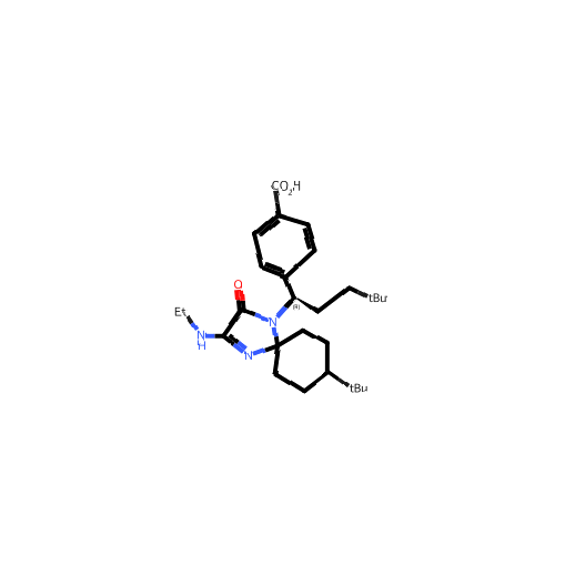 CCNC1=NC2(CCC(C(C)(C)C)CC2)N([C@H](CCC(C)(C)C)c2ccc(C(=O)O)cc2)C1=O